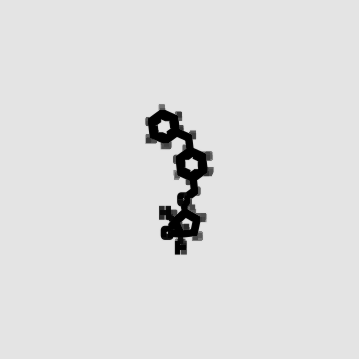 c1ccc(Cc2ccc(CO[C@H]3CC[C@H]4O[C@@H]34)cc2)cc1